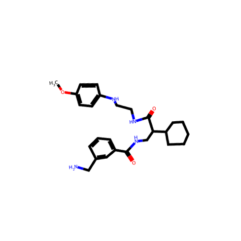 COc1ccc(NCCNC(=O)C(CNC(=O)c2cccc(CN)c2)C2CCCCC2)cc1